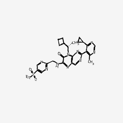 CCS(=O)(=O)c1cnc(CNc2nc3cnc(-c4c(C)ncnc4C4CC4)nc3n([C@@H](C)C3CCC3)c2=O)nc1